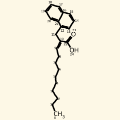 CCCCCCCCCC=C(Cc1cccc2ccccc12)C(=O)O